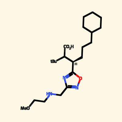 COCCNCc1noc([C@H](CCCC2CCCCC2)C(C(=O)O)C(C)(C)C)n1